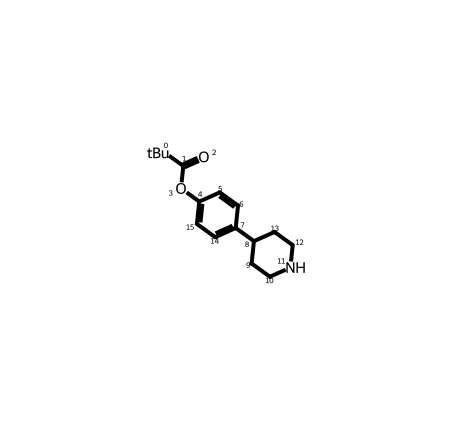 CC(C)(C)C(=O)Oc1ccc(C2CCNCC2)cc1